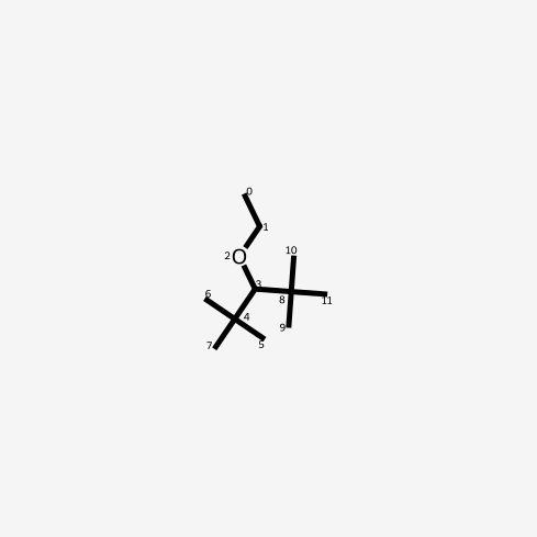 CCOC(C(C)(C)C)C(C)(C)C